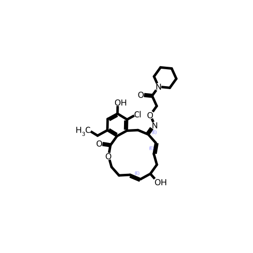 CCc1cc(O)c(Cl)c2c1C(=O)OCC/C=C/C(O)C/C=C/C(=N/OCC(=O)N1CCCCC1)C2